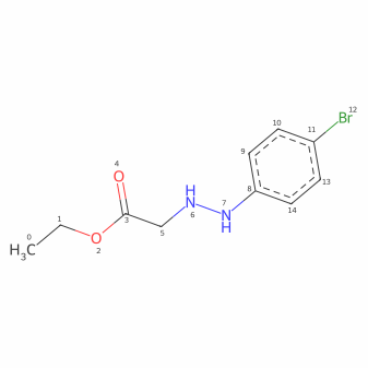 CCOC(=O)CNNc1ccc(Br)cc1